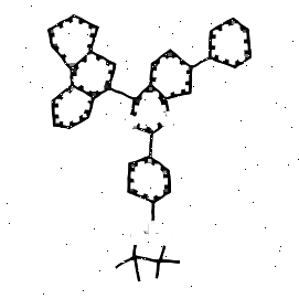 CC1(C)OB(c2ccc(-c3nc(-c4cc5ccccc5c5ccccc45)c4ccc(-c5ccccc5)cc4n3)cc2)OC1(C)C